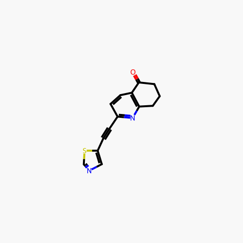 O=C1CCCc2nc(C#Cc3cncs3)ccc21